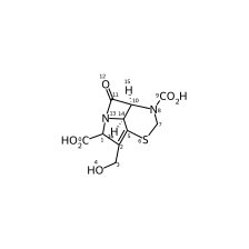 O=C(O)C1C(CO)=C2SCN(C(=O)O)[C@@H]3C(=O)N1[C@H]23